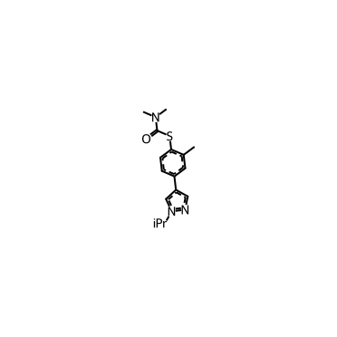 Cc1cc(-c2cnn(C(C)C)c2)ccc1SC(=O)N(C)C